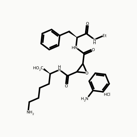 CCNC(=O)[C@H](Cc1ccccc1)NC(=O)C1OC1C(=O)N[C@@H](CCCCN)C(=O)O.Cl.Nc1ccccc1